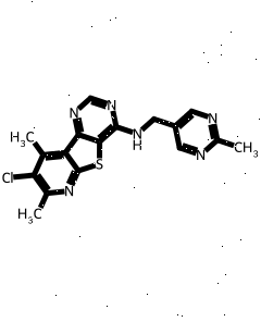 Cc1ncc(CNc2ncnc3c2sc2nc(C)c(Cl)c(C)c23)cn1